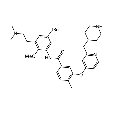 COc1c(CCN(C)C)cc(C(C)(C)C)cc1NC(=O)c1ccc(C)c(Oc2ccnc(CC3CCNCC3)c2)c1